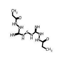 CCC(=O)NNC(=N)NSNC(=N)NNC(=O)CC